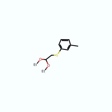 CCOC(CSc1cccc(C)c1)OCC